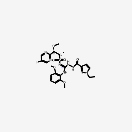 CCn1ccc(C(=O)NN/C(=N\S(=O)(=O)[C@@H](C)[C@H](OC)c2ncc(F)cn2)Nc2c(OC)cccc2OC)n1